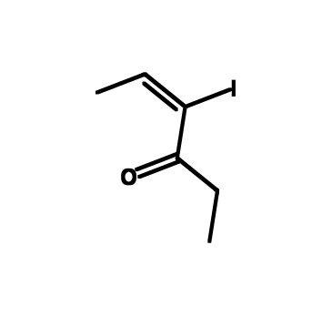 C/C=C(/I)C(=O)CC